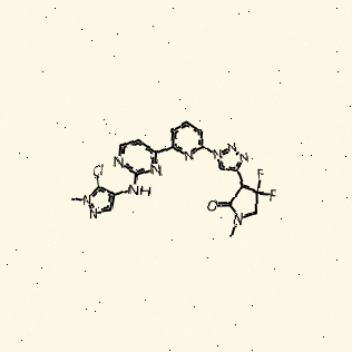 CN1CC(F)(F)C(c2cn(-c3cccc(-c4ccnc(Nc5cnn(C)c5Cl)n4)n3)nn2)C1=O